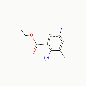 CCOC(=O)c1cc(I)cc(C)c1N